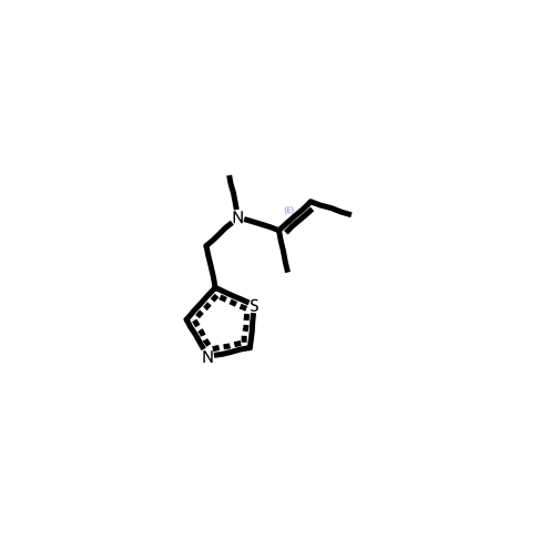 C/C=C(\C)N(C)Cc1cncs1